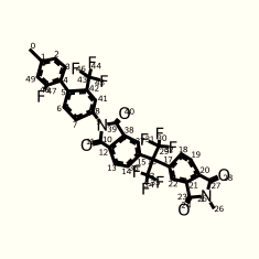 Cc1ccc(-c2ccc(N3C(=O)c4ccc(C(c5ccc6c(c5)C(=O)N(C)C6=O)(C(F)(F)F)C(F)(F)F)cc4C3=O)cc2C(F)(F)F)c(F)c1